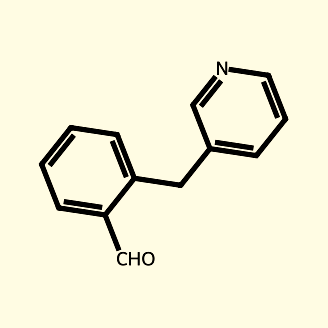 O=Cc1ccccc1Cc1cccnc1